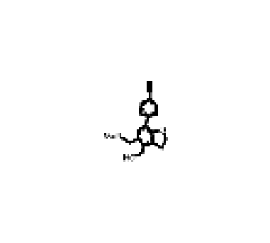 C#Cc1ccc(-c2cc(CNC)c(CO)c3c2OCC3)cc1